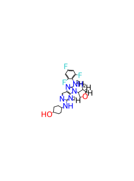 [2H]C1OC([2H])([2H])C([2H])C1n1c(Nc2c(F)cc(F)cc2F)nc2cnc(NC3CCC(O)CC3)nc21